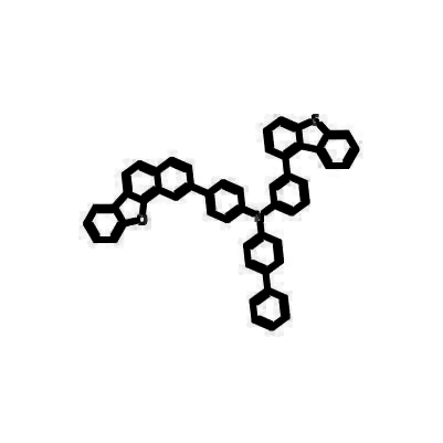 c1ccc(-c2ccc(N(c3ccc(-c4ccc5ccc6c7ccccc7oc6c5c4)cc3)c3cccc(-c4cccc5sc6ccccc6c45)c3)cc2)cc1